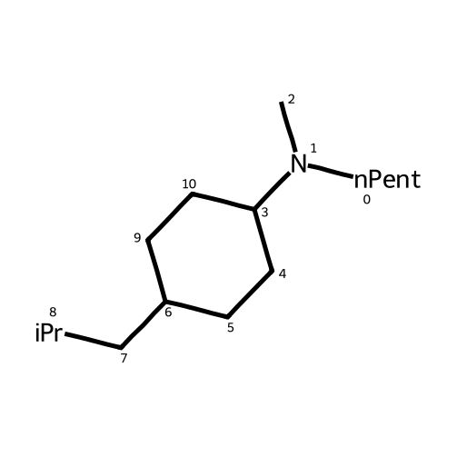 CCCCCN(C)C1CCC(CC(C)C)CC1